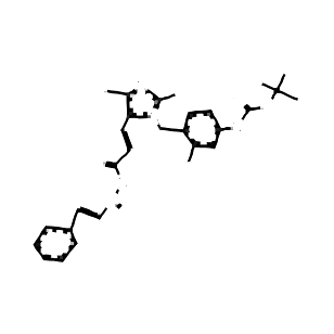 Cc1nc(Cl)c(C=CC(=O)NS(=O)(=O)C=Cc2ccccc2)n1Cc1ccc(NC(=O)OC(C)(C)C)cc1Cl